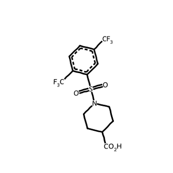 O=C(O)C1CCN(S(=O)(=O)c2cc(C(F)(F)F)ccc2C(F)(F)F)CC1